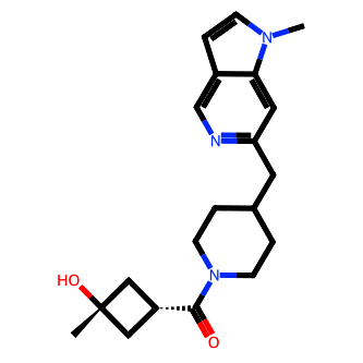 Cn1ccc2cnc(CC3CCN(C(=O)[C@H]4C[C@@](C)(O)C4)CC3)cc21